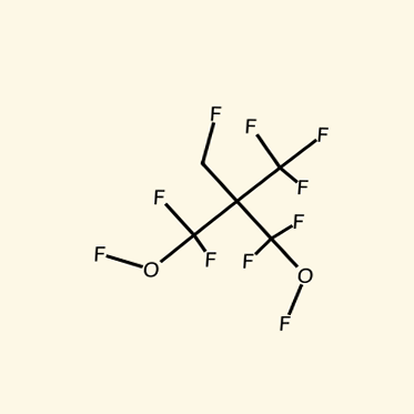 FCC(C(F)(F)F)(C(F)(F)OF)C(F)(F)OF